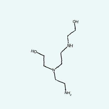 NCCN(CCO)CCNCCO